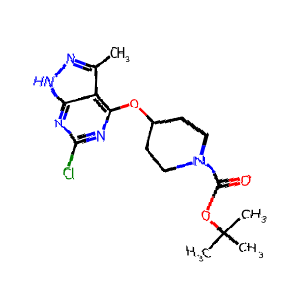 Cc1n[nH]c2nc(Cl)nc(OC3CCN(C(=O)OC(C)(C)C)CC3)c12